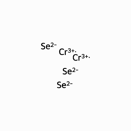 [Cr+3].[Cr+3].[Se-2].[Se-2].[Se-2]